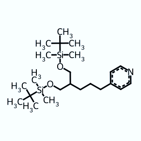 CC(C)(C)[Si](C)(C)OCC(CCCc1ccncc1)CO[Si](C)(C)C(C)(C)C